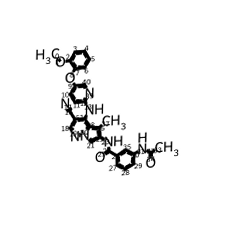 COc1ccccc1Oc1ccc(Nc2c(C#N)cnn3cc(NC(=O)c4cccc(NC(C)=O)c4)c(C)c23)nc1